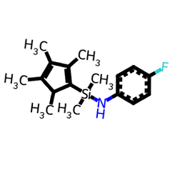 CC1=C(C)C(C)C([Si](C)(C)Nc2ccc(F)cc2)=C1C